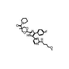 COCCCNc1nccc(-c2[nH]c(C3OCC(C)(C(=O)N4CCCCC4)CO3)nc2-c2ccc(F)cc2)n1